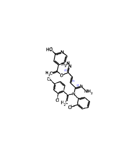 C=C(OC(/C=C/C(=N/N)N(C(=C)c1ccc(Cl)cc1Cl)c1ccccc1Cl)=N\N)c1ccnc(O)c1